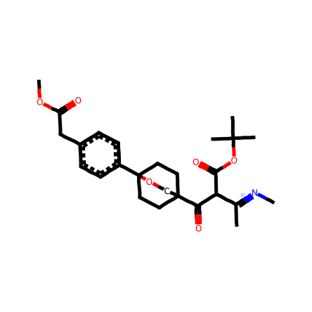 C/N=C(\C)C(C(=O)OC(C)(C)C)C(=O)C12CCC(c3ccc(CC(=O)OC)cc3)(CC1)OC2